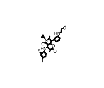 COCCNc1cccc(-c2c(C)n(C3CC3)c(=O)c3c(Nc4ccc(I)cc4F)c(C)c(=O)oc23)c1